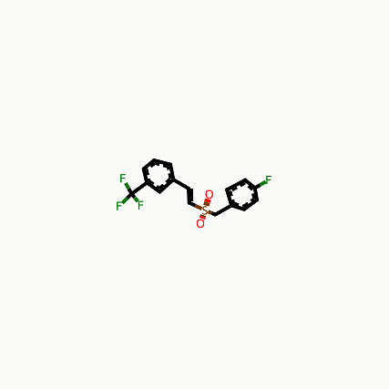 O=S(=O)(C=Cc1cccc(C(F)(F)F)c1)Cc1ccc(F)cc1